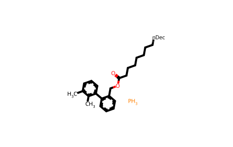 CCCCCCCCCCCCCCCCCC(=O)OCc1ccccc1-c1cccc(C)c1C.P